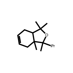 CC(C)C1(C)OC(C)(C)C2CC=CCC21C